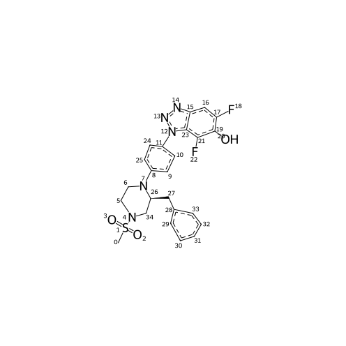 CS(=O)(=O)N1CCN(c2ccc(-n3nnc4cc(F)c(O)c(F)c43)cc2)[C@@H](Cc2ccccc2)C1